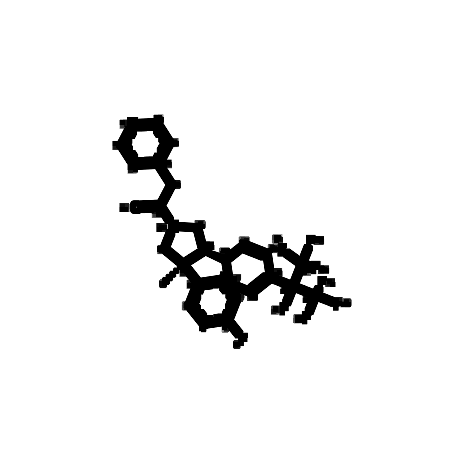 C[C@]1(c2ccc(F)cc2)CN(C(=O)Cc2ccncc2)C[C@H]1C1C=CC(C(F)(C(F)(F)F)C(F)(F)F)=CC1